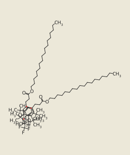 CCCCCCCCCCCCCCCCCCOC(=O)CCc1cc(C(C)(C)C)c(OP(O)(F)(Oc2c(C(C)(C)C)cc(CCC(=O)OCCCCCCCCCCCCCCCCCC)cc2C(C)(C)C)C(F)(F)F)c(C(C)(C)C)c1